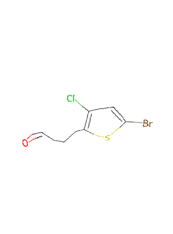 O=CCc1sc(Br)cc1Cl